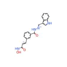 O=C(/C=C/c1cccc(C(=O)N/N=C/c2c[nH]c3ccccc23)c1)NO